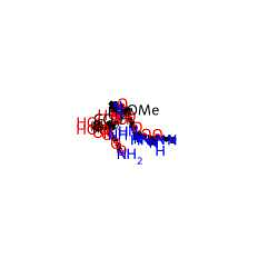 C=C1C[C@H]2C(O)N(C(=O)OCc3ccc(O[C@@H]4O[C@H](C(=O)O)[C@@H](O)[C@H](O)[C@H]4O)c(C(=O)NCCOCCON)c3)c3cc(OCCCC(=O)Nc4cc(C(=O)Nc5cc(C(=O)NCCCN(C)C)n(C)c5)n(C)c4)c(OC)cc3C(=O)N2C1